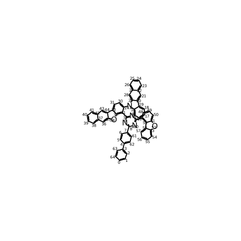 c1ccc(-c2ccc(-c3nc(-c4c(-n5c6ccccc6c6cc7ccccc7cc65)ccc5c4oc4cc6ccccc6cc45)nc(-c4cccc5oc6ccccc6c45)n3)cc2)cc1